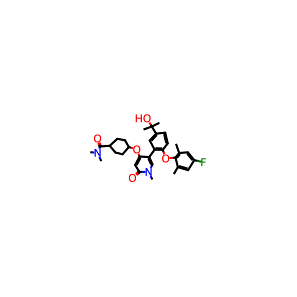 Cc1cc(F)cc(C)c1Oc1ccc(C(C)(C)O)cc1-c1cn(C)c(=O)cc1OC1CCC(C(=O)N(C)C)CC1